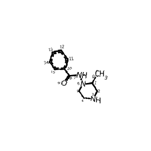 CC1CNCCN1NC(=O)c1ccccc1